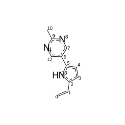 C=Cc1ccc(-c2cnc(C)nc2)[nH]1